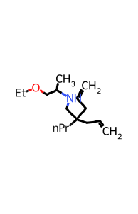 C=CCC(CC=C)(CCC)CNC(C)COCC